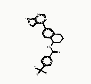 O=C(NC1CCCc2cc(-c3ncnc4[nH]ncc34)ccc21)c1ccc(C(F)(F)I)cn1